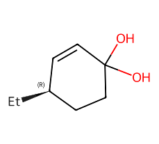 CC[C@H]1C=CC(O)(O)CC1